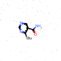 CC(C)(C)c1ncncc1C(N)=O